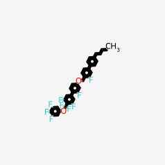 CCCCCc1ccc(-c2ccc(COc3ccc(-c4cc(F)c(C(F)(F)Oc5cc(F)c(F)c(F)c5)c(F)c4)c(F)c3)c(F)c2)cc1